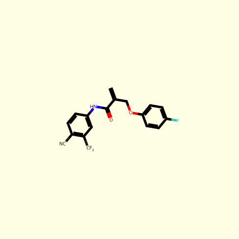 C=C(COc1ccc(F)cc1)C(=O)Nc1ccc(C#N)c(C(F)(F)F)c1